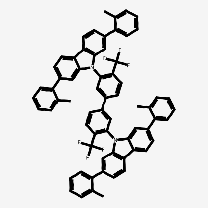 Cc1ccccc1-c1ccc2c3ccc(-c4ccccc4C)cc3n(-c3cc(-c4ccc(C(F)(F)F)c(-n5c6cc(-c7ccccc7C)ccc6c6ccc(-c7ccccc7C)cc65)c4)ccc3C(F)(F)F)c2c1